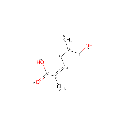 CC(=CCC(C)CO)C(=O)O